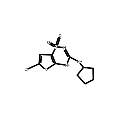 O=S1(=O)N=C(NC2CCCC2)Nc2sc(Cl)cc21